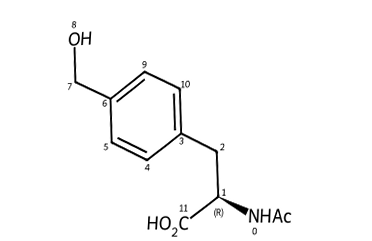 CC(=O)N[C@H](Cc1ccc(CO)cc1)C(=O)O